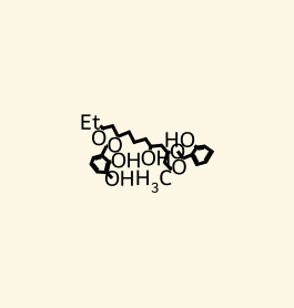 CCC1CC(CCCC(O)CC2C[C@H](C)OC(c3ccccc3O)O2)OC(c2cccc(O)c2O)O1